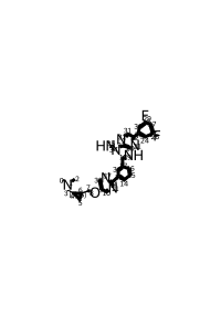 CN(C)C[C@H]1C[C@@H]1COc1cnc(-c2cccc(CNc3nc(-c4cc(F)cc(F)c4)cnc3N=N)c2)nc1